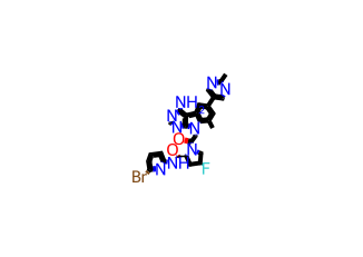 Cc1ncc(-c2cc(C)c3c(c2)c2c(N)ncnc2n3CC(=O)N2C[C@H](F)C[C@H]2C(=O)Nc2cccc(Br)n2)cn1